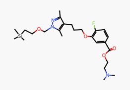 Cc1nn(COCC[Si](C)(C)C)c(C)c1CCCOc1cc(C(=O)OCCN(C)C)ccc1F